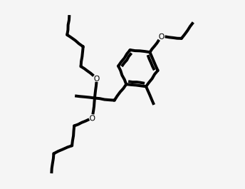 CCCCOC(C)(Cc1ccc(OCC)cc1C)OCCCC